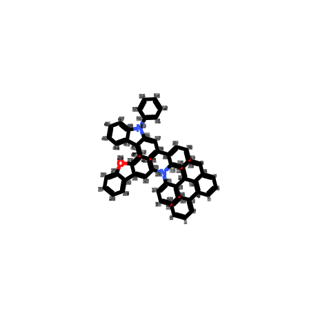 c1ccc(-c2cccc3cccc(-c4ccccc4N(c4ccc5oc6ccccc6c5c4)c4ccccc4-c4ccc5c6ccccc6n(-c6ccccc6)c5c4)c23)cc1